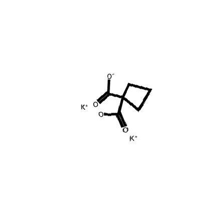 O=C([O-])C1(C(=O)[O-])CCC1.[K+].[K+]